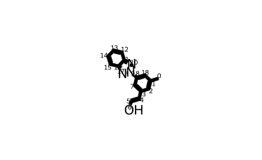 Cc1cc(C=CO)cc(-n2nc3ccccc3n2)c1